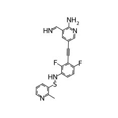 Cc1ncccc1SNc1ccc(F)c(C#Cc2cnc(N)c(C=N)c2)c1F